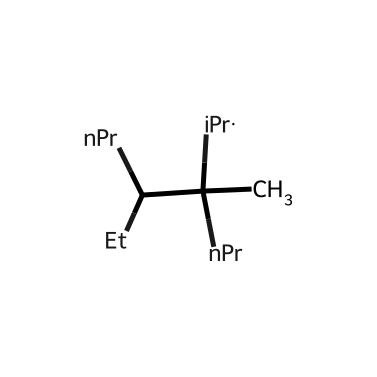 CCCC(CC)C(C)(CCC)[C](C)C